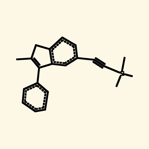 CC1=C(c2ccccc2)c2cc(C#C[Si](C)(C)C)ccc2C1